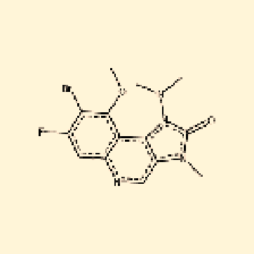 COc1c(Br)c(F)cc2ncc3c(c12)n(N(C)C)c(=O)n3C